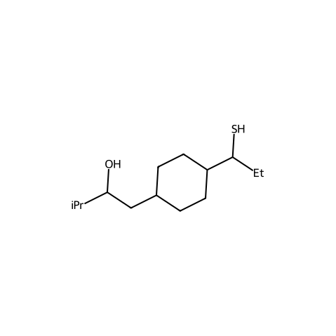 CCC(S)C1CCC(CC(O)C(C)C)CC1